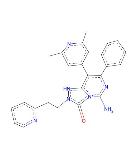 Cc1cc(-c2c(-c3ccccc3)nc(N)[n+]3c(=O)n(CCc4ccccn4)[nH]c23)cc(C)n1